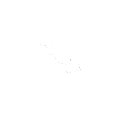 CC(C)NCCc1ncccn1